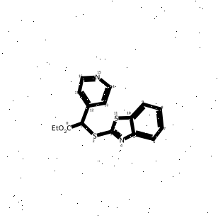 CCOC(=O)C(Sc1nc2ccccc2s1)c1ccncc1